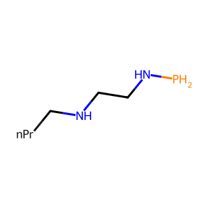 CCCCNCCNP